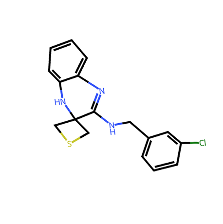 Clc1cccc(CNC2=Nc3ccccc3NC23CSC3)c1